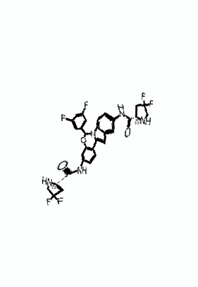 O=C(Nc1ccc2c(c1)OC(c1cc(F)cc(F)c1)n1c-2cc2cc(NC(=O)[C@@H]3CC(F)(F)CN3)ccc21)[C@@H]1CC(F)(F)CN1